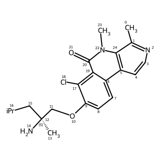 Cc1nccc2c3ccc(OC[C@@](C)(N)CC(C)C)c(Cl)c3c(=O)n(C)c12